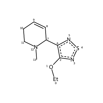 CCOc1nsnc1C1C=CCCN1C